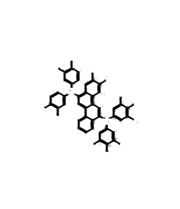 Cc1ccc(N(c2ccc(C)c(C)c2)c2cc3c4ccccc4c(N(c4cc(C)c(C)c(C)c4)c4cc(C)c(C)c(C)c4)cc3c3cc(C)c(C)cc23)cc1C